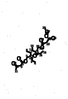 CC[Si](CC)(COC(=O)CC(C)=O)O[Si](CC)(CC)COC(=O)CC(=O)OOC